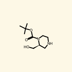 CC(C)(C)OC(=O)N1CCNC[C@H]1CO